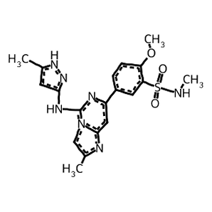 CNS(=O)(=O)c1cc(-c2cc3nc(C)cn3c(Nc3cc(C)[nH]n3)n2)ccc1OC